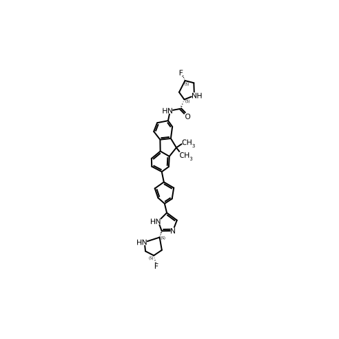 CC1(C)c2cc(NC(=O)[C@@H]3C[C@H](F)CN3)ccc2-c2ccc(-c3ccc(-c4cnc([C@@H]5C[C@H](F)CN5)[nH]4)cc3)cc21